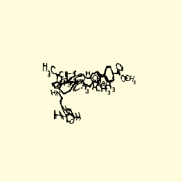 C=C(C)[C@@H]1CC[C@]2(NCCN3C[C@@H]4C[C@H]3CO4)CC[C@]3(C)[C@H](CC[C@@H]4[C@@]5(C)CC=C(C6=CC[C@H](C(=O)OC)CC6)C(C)(C)[C@@H]5CC[C@]43C)[C@@H]12